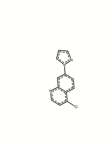 Clc1ccnc2cc(-n3cccn3)ccc12